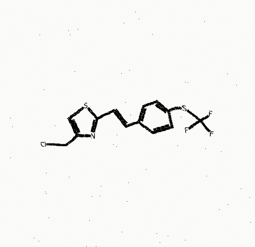 FC(F)(F)Sc1ccc(/C=C/c2nc(CCl)cs2)cc1